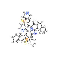 S=P(c1ccccc1)(c1ccc2ccccc2c1)c1ccc2c(c1)nc1c3c4ccccc4ccc3c3ccc(P(=S)(c4ccncc4)c4ccncc4)cc3n21